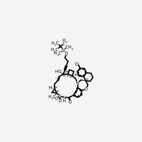 CC(C)(C)[Si](C)(C)OCCC#C[C@@]1(O)/C=C/C[C@@H]2C[C@@]2(C)S(=O)(=O)NC(=O)c2ccc3c(c2)N(C[C@@H]2CC[C@H]21)C[C@@]1(CCCc2cc(Cl)ccc21)CO3